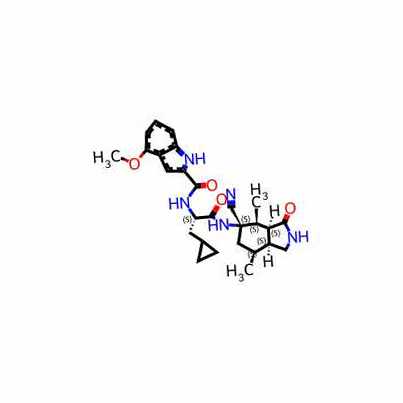 COc1cccc2[nH]c(C(=O)N[C@@H](CC3CC3)C(=O)N[C@@]3(C#N)C[C@H](C)[C@@H]4CNC(=O)[C@@H]4[C@@H]3C)cc12